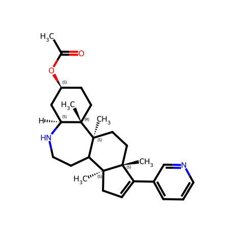 CC(=O)O[C@H]1CC[C@@]2(C)[C@H](C1)NCCC1[C@]2(C)CC[C@]2(C)C(c3cccnc3)=CC[C@@]12C